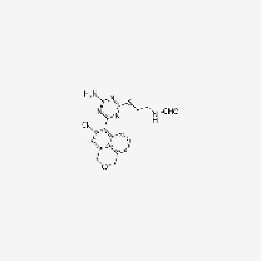 Nc1nc(SCCNC=O)nc(-c2c(Cl)cc3c4c(cccc24)COC3)n1